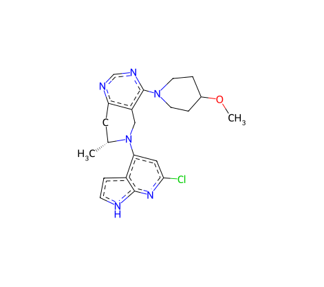 COC1CCN(c2ncnc3c2CN(c2cc(Cl)nc4[nH]ccc24)[C@H](C)C3)CC1